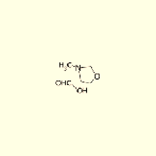 CN1CCOC1.O=CO